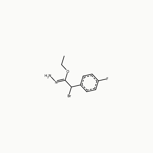 CCOC(=NN)C(Br)c1ccc(F)cc1